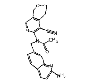 CC(=O)N(Cc1ccc2ccc(N)nc2c1)c1ncc2c(c1C#N)CCOC2